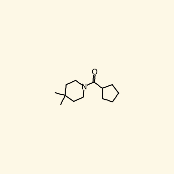 CC1(C)CCN(C(=O)C2CCCC2)CC1